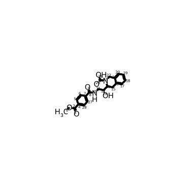 COC(=O)c1ccc(C(=O)NC[C@@H](O)C2Cc3ccccc3CN2C(=O)O)cc1